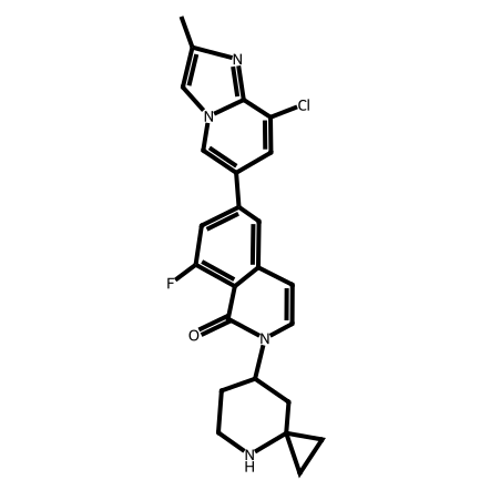 Cc1cn2cc(-c3cc(F)c4c(=O)n(C5CCNC6(CC6)C5)ccc4c3)cc(Cl)c2n1